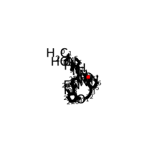 C=CC(O)N1CC[C@H]2[C@@H]1CN2c1nc(=O)n2c3nc(c(F)cc13)-c1c(F)cccc1OCCCc1ccnc(C(C)C)c1-2